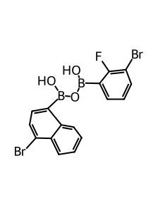 OB(OB(O)c1ccc(Br)c2ccccc12)c1cccc(Br)c1F